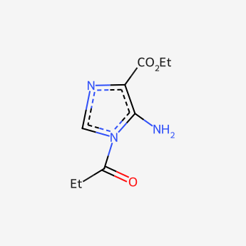 CCOC(=O)c1ncn(C(=O)CC)c1N